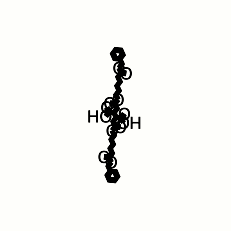 O=C(CCCCCOC(=O)CC(C(=O)O)C(CC(=O)OCCCCCC(=O)OCc1ccccc1)C(=O)O)OCc1ccccc1